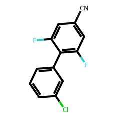 N#Cc1cc(F)c(-c2cc[c]c(Cl)c2)c(F)c1